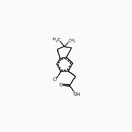 CC1(C)Cc2cc(Cl)c(CC(=O)O)cc2C1